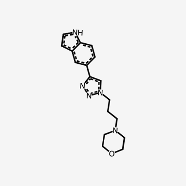 c1cc2cc(-c3cn(CCCN4CCOCC4)nn3)ccc2[nH]1